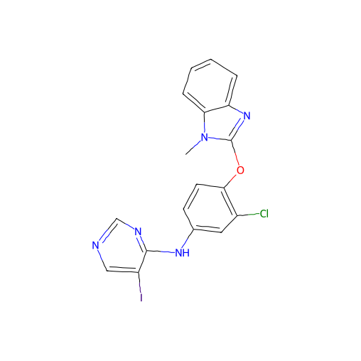 Cn1c(Oc2ccc(Nc3ncncc3I)cc2Cl)nc2ccccc21